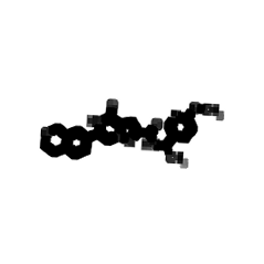 COc1ccc([C@@H](C)NC(=O)c2cc3c(=O)[nH]c(-c4ccc5c(c4)COCC5)cn3n2)cn1